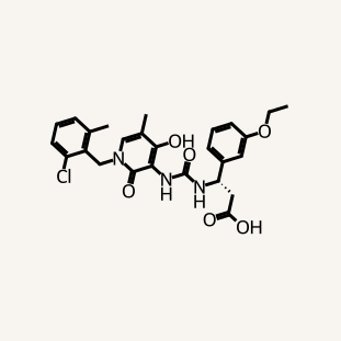 CCOc1cccc([C@H](CC(=O)O)NC(=O)Nc2c(O)c(C)cn(Cc3c(C)cccc3Cl)c2=O)c1